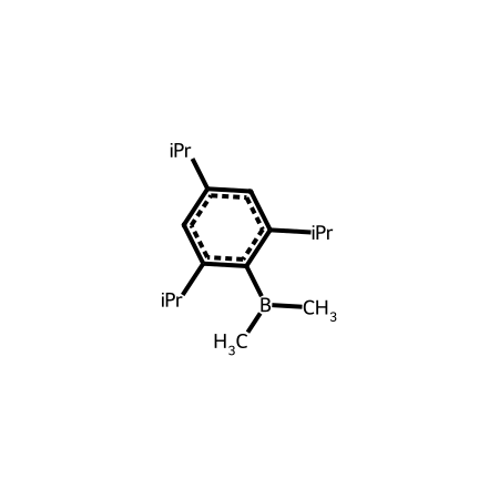 CB(C)c1c(C(C)C)cc(C(C)C)cc1C(C)C